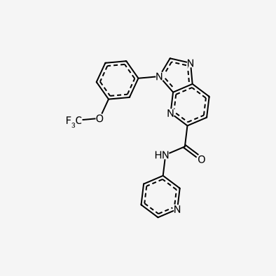 O=C(Nc1cccnc1)c1ccc2ncn(-c3cccc(OC(F)(F)F)c3)c2n1